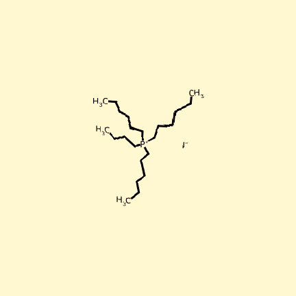 CCCCCC[P+](CCCC)(CCCCCC)CCCCCC.[I-]